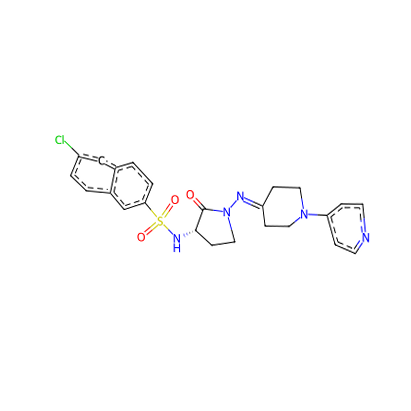 O=C1[C@@H](NS(=O)(=O)c2ccc3cc(Cl)ccc3c2)CCN1N=C1CCN(c2ccncc2)CC1